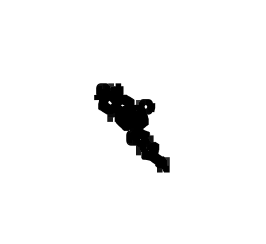 COC1C[C@H](C(=O)Cn2cc(C#N)cn2)[C@@]2(C)CC[C@H]3[C@@H](CC[C@@H]4C[C@](C)(O)CC[C@@H]43)[C@H]12